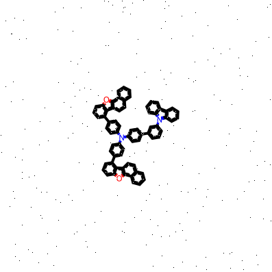 c1cc(-c2ccc(N(c3ccc(-c4cccc5oc6c7ccccc7ccc6c45)cc3)c3ccc(-c4cccc5oc6c7ccccc7ccc6c45)cc3)cc2)cc(-n2c3ccccc3c3ccccc32)c1